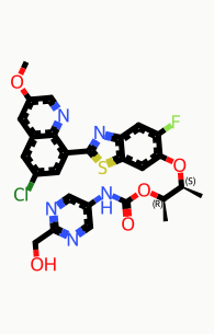 COc1cnc2c(-c3nc4cc(F)c(O[C@@H](C)[C@@H](C)OC(=O)Nc5cnc(CO)nc5)cc4s3)cc(Cl)cc2c1